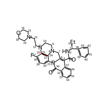 CC[C@H](NC(=O)c1c(CN2CCN(CCN3CCOCC3)CC2)n(-c2ccc(F)cc2)c(=O)c2ccccc12)c1ccccc1